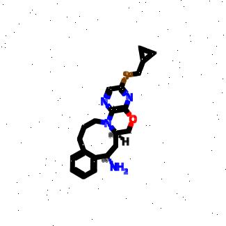 N[C@H]1C[C@@H]2COc3nc(SCC4CC4)cnc3N2CCCc2ccccc21